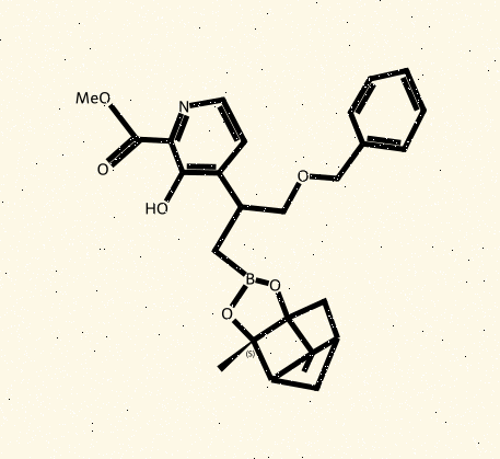 COC(=O)c1nccc(C(COCc2ccccc2)CB2OC34CC5CC(C53C)[C@]4(C)O2)c1O